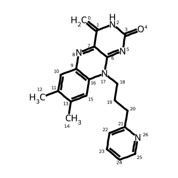 C=c1[nH]c(=O)nc2c1=Nc1cc(C)c(C)cc1N2CCCc1ccccn1